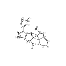 COc1cc2[nH]nc(-c3cnn(C)c3)c2nc1C1c2ccccc2CC1O